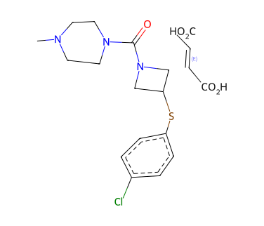 CN1CCN(C(=O)N2CC(Sc3ccc(Cl)cc3)C2)CC1.O=C(O)/C=C/C(=O)O